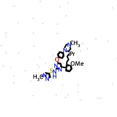 COc1cccc(-c2cc(Oc3ccc(N4CCN(C)CC4)cc3)nc(NSc3cnn(C)c3)n2)c1CCCC(C)C